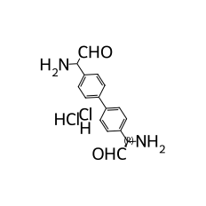 Cl.Cl.NC(C=O)c1ccc(-c2ccc([C@@H](N)C=O)cc2)cc1